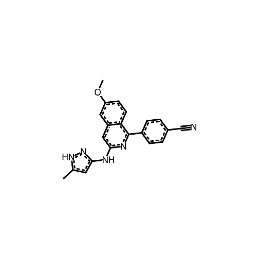 COc1ccc2c(-c3ccc(C#N)cc3)nc(Nc3cc(C)[nH]n3)cc2c1